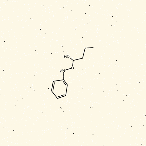 CCCC(O)ONc1ccccc1